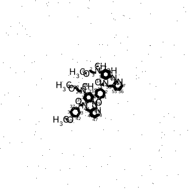 COCCN(C)c1ccc2c(c1)N(C(=O)[C@H]1CC[C@@H](ON3c4ccc(N(C)CCOC)cc4N(C(=O)[C@H]4CC[C@H](OC)CC4)Cc4cccnc43)CC1)Cc1cccnc1N2